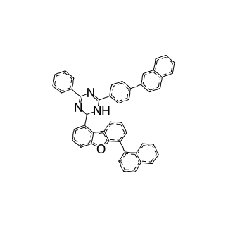 c1ccc(C2=NC(c3cccc4oc5c(-c6cccc7ccccc67)cccc5c34)NC(c3ccc(-c4ccc5ccccc5c4)cc3)=N2)cc1